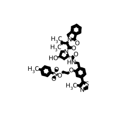 Cc1ccc(S(=O)(=O)OCCOc2cc(-c3scnc3C)ccc2CNC(=O)[C@@H]2C[C@@H](O)CN2C(=O)C(C(C)C)N2Cc3ccccc3C2=O)cc1